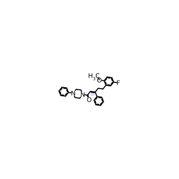 COc1ccc(F)cc1CC/C(=C/C(=O)N1CCN(c2ccccc2)CC1)c1ccccc1